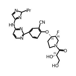 CC(C)C1N=CC(Nc2ccnc(-c3ccc(O[C@H]4CCN(C(=O)[C@@H](O)CO)C[C@H]4F)c(C#N)c3)n2)=N1